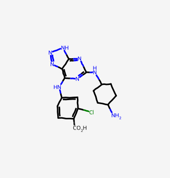 NC1CCC(Nc2nc(Nc3ccc(C(=O)O)c(Cl)c3)c3nn[nH]c3n2)CC1